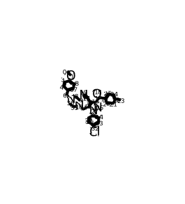 COc1ccc(CN2CCN(Cc3c(C#N)c(C(=O)c4ccc(C)cc4)nn3-c3ccc(Cl)cc3)CC2)cc1